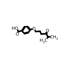 CC(C)C(=O)CCCOc1ccc(C(=O)O)cc1